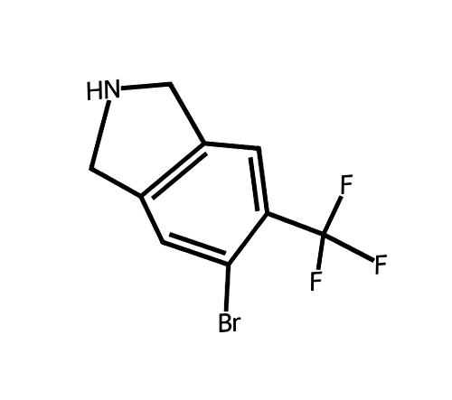 FC(F)(F)c1cc2c(cc1Br)CNC2